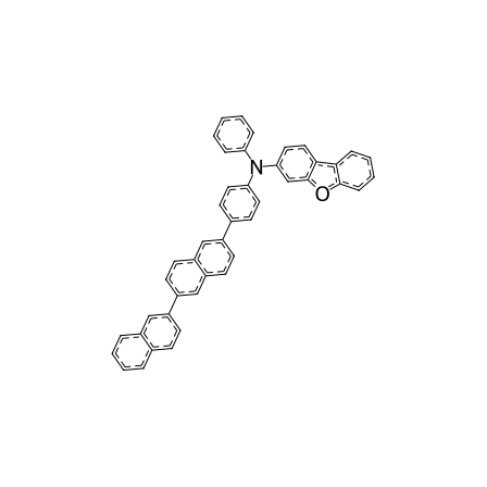 c1ccc(N(c2ccc(-c3ccc4cc(-c5ccc6ccccc6c5)ccc4c3)cc2)c2ccc3c(c2)oc2ccccc23)cc1